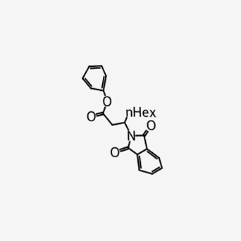 CCCCCCC(CC(=O)Oc1ccccc1)N1C(=O)c2ccccc2C1=O